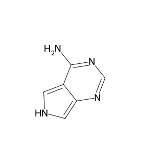 Nc1ncnc2c[nH]cc12